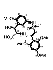 COc1cc(OC)c(/C=C/S(=O)(=O)Nc2ccc(OC)c(C(O)[C@H](N)C(=O)O)c2)c(OC)c1